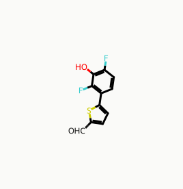 O=Cc1ccc(-c2ccc(F)c(O)c2F)s1